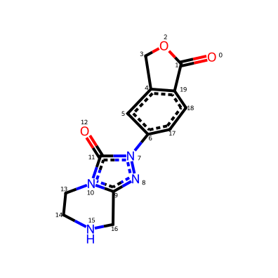 O=C1OCc2cc(-n3nc4n(c3=O)CCNC4)ccc21